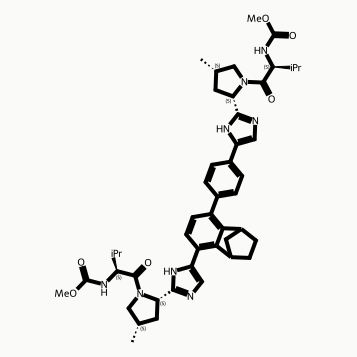 COC(=O)N[C@H](C(=O)N1C[C@@H](C)C[C@H]1c1ncc(-c2ccc(-c3ccc(-c4cnc([C@@H]5C[C@H](C)CN5C(=O)[C@@H](NC(=O)OC)C(C)C)[nH]4)c4c3C3CCC4C3)cc2)[nH]1)C(C)C